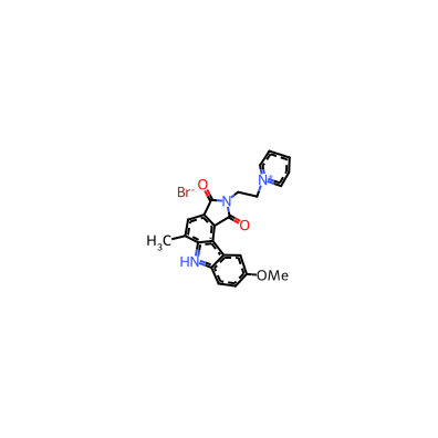 COc1ccc2[nH]c3c(C)cc4c(c3c2c1)C(=O)N(CC[n+]1ccccc1)C4=O.[Br-]